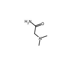 [CH3][Al]([CH3])[CH2]C(N)=O